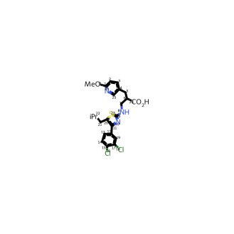 COc1ccc(CC(CNc2nc(-c3ccc(Cl)c(Cl)c3)c(CC(C)C)s2)C(=O)O)cn1